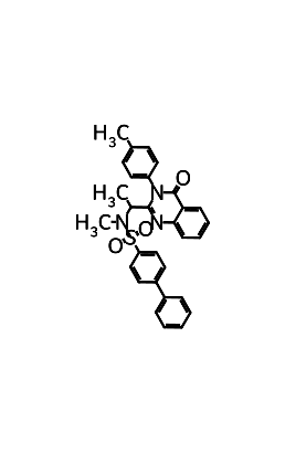 Cc1ccc(-n2c(C(C)N(C)S(=O)(=O)c3ccc(-c4ccccc4)cc3)nc3ccccc3c2=O)cc1